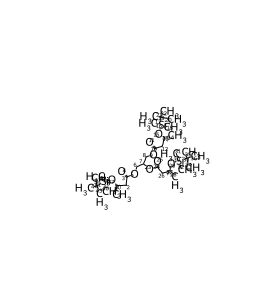 C[C@H](CC(=O)OCC(COC(=O)C[C@@H](C)O[Si](C)(C)C(C)(C)C)OC(=O)C[C@@H](C)O[Si](C)(C)C(C)(C)C)O[Si](C)(C)C(C)(C)C